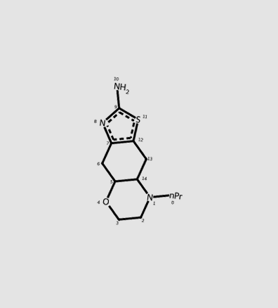 CCCN1CCOC2Cc3nc(N)sc3CC21